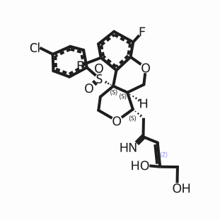 N=C(/C=C(\O)CO)C[C@@H]1OCC[C@@]2(S(=O)(=O)c3ccc(Cl)cc3)c3c(F)ccc(F)c3OC[C@@H]12